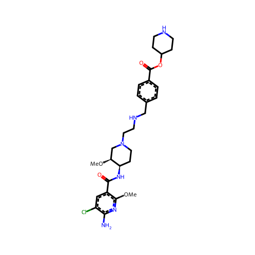 COc1nc(N)c(Cl)cc1C(=O)N[C@@H]1CCN(CCNCc2ccc(C(=O)OC3CCNCC3)cc2)C[C@@H]1OC